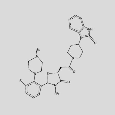 CCCN1C(=O)[C@H](CC(=O)N2CCC(n3c(=O)[nH]c4ncccc43)CC2)SC1c1cccc(F)c1N1CCN(C(C)(C)C)CC1